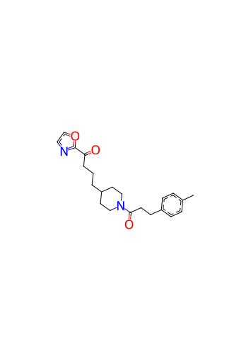 Cc1ccc(CCC(=O)N2CCC(CCCC(=O)c3ncco3)CC2)cc1